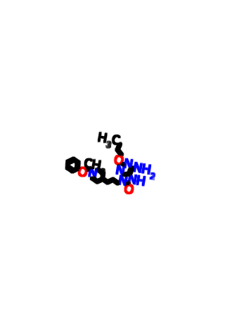 CCCCOc1nc(N)c2[nH]c(=O)n(CCCC3CCN(C(C)Oc4ccccc4)CC3)c2n1